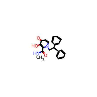 CNC(=O)c1c(O)c(=O)ccn1CC(c1ccccc1)c1ccccc1